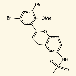 COc1c(C2=CCc3cc(NS(C)(=O)=O)ccc3O2)cc(Br)cc1C(C)(C)C